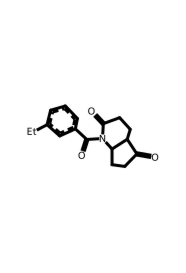 CCc1cccc(C(=O)N2C(=O)CCC3C(=O)CCC32)c1